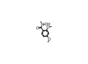 COc1ccc(C(=O)N(C)O)c(OC)c1